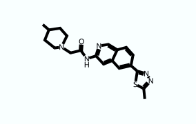 Cc1nnc(-c2ccc3cnc(NC(=O)CN4CCC(C)CC4)cc3c2)s1